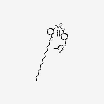 CCCCCCCCCCCCCCOc1cccc(OP(=O)(O)Oc2ccc(C[n+]3csc(C)c3)cc2)c1